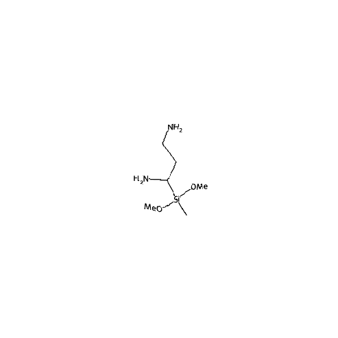 CO[Si](C)(OC)C(N)CCN